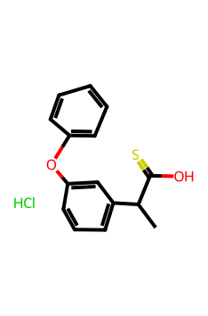 CC(C(O)=S)c1cccc(Oc2ccccc2)c1.Cl